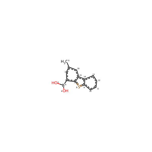 Cc1cc(B(O)O)c2sc3ccccc3c2c1